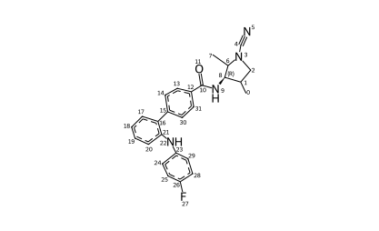 CC1CN(C#N)C(C)[C@@H]1NC(=O)c1ccc(-c2ccccc2Nc2ccc(F)cc2)cc1